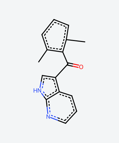 Cc1cccc(C)c1C(=O)c1c[nH]c2ncccc12